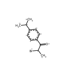 CC(Br)C(=O)c1ccc(C(C)C)cc1